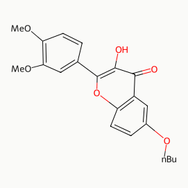 CCCCOc1ccc2oc(-c3ccc(OC)c(OC)c3)c(O)c(=O)c2c1